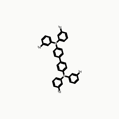 [3H]c1cccc(N(c2ccc(-c3ccc(N(c4cccc([3H])c4)c4cccc([3H])c4)cc3)cc2)c2cccc([3H])c2)c1